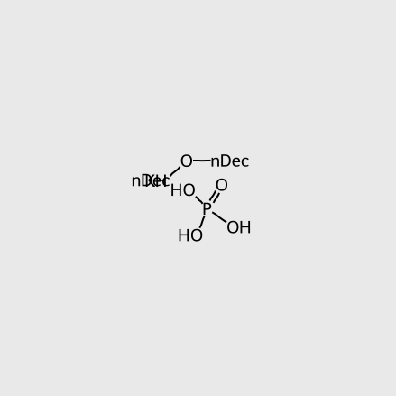 CCCCCCCCCCOCCCCCCCCCC.O=P(O)(O)O.[KH]